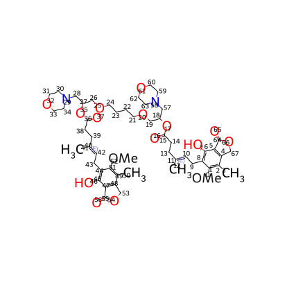 COc1c(C)c2c(c(O)c1C/C=C(\C)CCC(=O)OC(COCCCCOCC(CN1CCOCC1)OC(=O)CC/C(C)=C/Cc1c(O)c3c(c(C)c1OC)COC3=O)CN1CCOCC1)C(=O)OC2